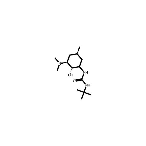 C[C@H]1CC(NC(=O)NC(C)(C)C)[C@H](O)[C@@H](N(C)C)C1